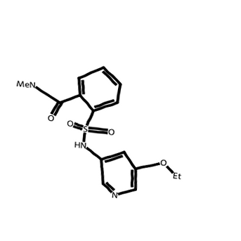 CCOc1cncc(NS(=O)(=O)c2ccccc2C(=O)NC)c1